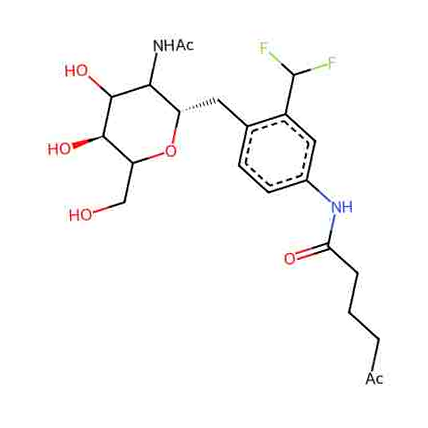 CC(=O)CCCC(=O)Nc1ccc(C[C@@H]2OC(CO)[C@@H](O)C(O)C2NC(C)=O)c(C(F)F)c1